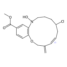 C=C1/C=C\CC(Cl)CCCN(O)c2cc(C(=O)OC)ccc2OC1